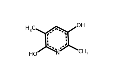 Cc1cc(O)c(C)nc1O